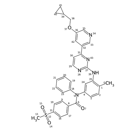 Cc1ccc(N(C(=O)c2ccc(S(C)(=O)=O)cc2)c2ccccc2)cc1Nc1nccc(-c2cncc(OCC3CC3)c2)n1